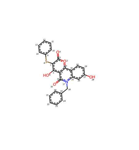 O=c1oc2c(c(O)c1Sc1ccccc1)c(=O)n(Cc1ccccc1)c1cc(O)ccc21